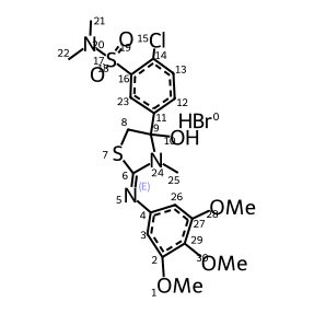 Br.COc1cc(/N=C2/SCC(O)(c3ccc(Cl)c(S(=O)(=O)N(C)C)c3)N2C)cc(OC)c1OC